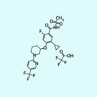 CS(=O)(=O)NC(=O)c1cc(C2CC2)c(O[C@@H]2CCCN(c3ccc(C(F)(F)F)cn3)C2)cc1F.O=C(O)C(F)(F)F